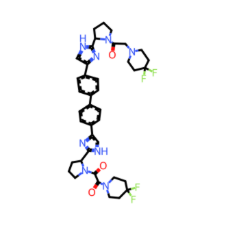 O=C(C(=O)N1CCCC1c1nc(-c2ccc(-c3ccc(-c4c[nH]c(C5CCCN5C(=O)CN5CCC(F)(F)CC5)n4)cc3)cc2)c[nH]1)N1CCC(F)(F)CC1